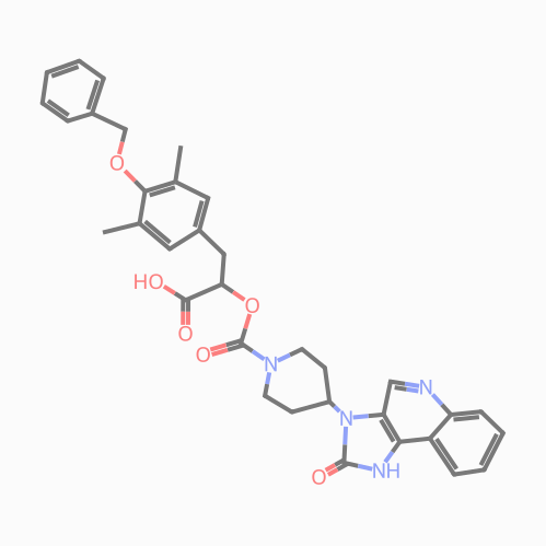 Cc1cc(CC(OC(=O)N2CCC(n3c(=O)[nH]c4c5ccccc5ncc43)CC2)C(=O)O)cc(C)c1OCc1ccccc1